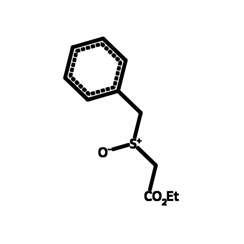 CCOC(=O)C[S+]([O-])Cc1ccccc1